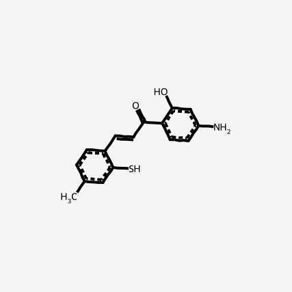 Cc1ccc(/C=C/C(=O)c2ccc(N)cc2O)c(S)c1